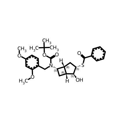 COc1ccc(CN(C(=O)OC(C)(C)C)[C@H]2C[C@H]3[C@H](O)[C@@H](SC(=O)c4ccccc4)C[C@H]32)c(OC)c1